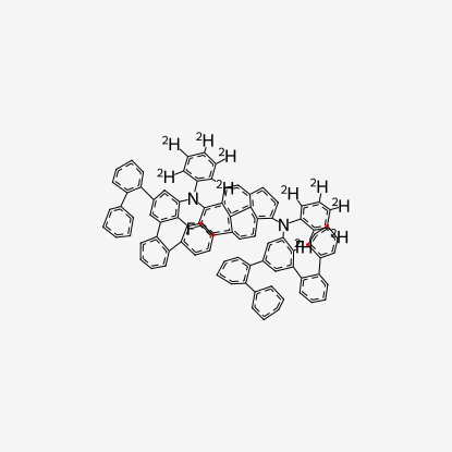 [2H]c1c([2H])c([2H])c(N(c2cc(-c3ccccc3-c3ccccc3)cc(-c3ccccc3-c3ccccc3)c2F)c2ccc3ccc4c(N(c5cc(-c6ccccc6-c6ccccc6)cc(-c6ccccc6-c6ccccc6)c5F)c5c([2H])c([2H])c([2H])c([2H])c5[2H])ccc5ccc2c3c54)c([2H])c1[2H]